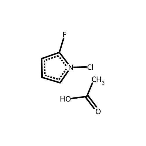 CC(=O)O.Fc1cccn1Cl